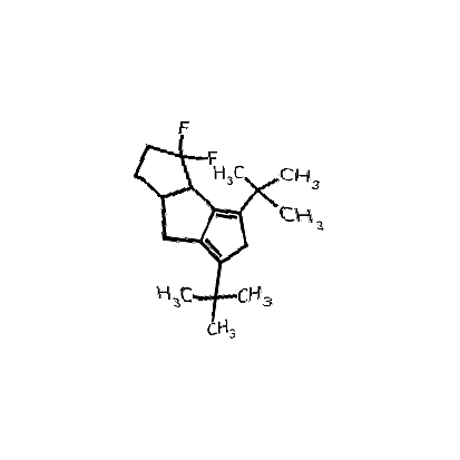 CC(C)(C)C1=C2CC3CCC(F)(F)C3C2=C(C(C)(C)C)C1